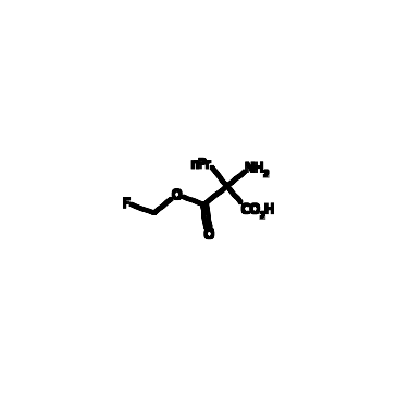 CCCC(N)(C(=O)O)C(=O)OCF